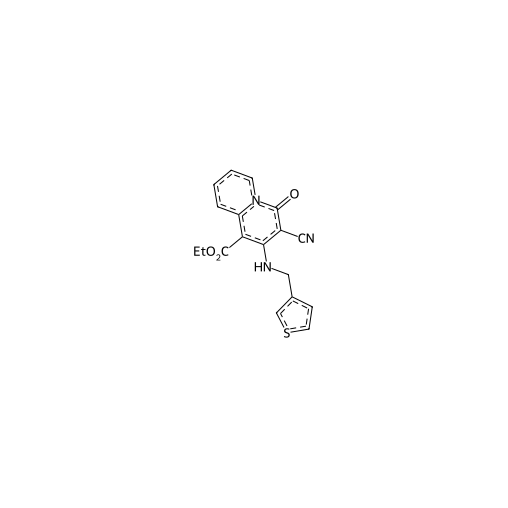 CCOC(=O)c1c(NCc2ccsc2)c(C#N)c(=O)n2ccccc12